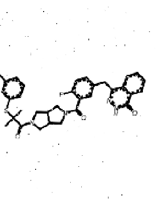 Cc1cccc(SC(C)(C)C(=O)N2CC3CN(C(=O)c4cc(Cc5n[nH]c(=O)c6ccccc56)ccc4F)CC3C2)c1